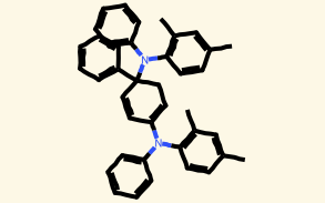 Cc1ccc(N(C2=CCC(c3ccccc3)(N(c3ccccc3)c3ccc(C)cc3C)C=C2)c2ccccc2)c(C)c1